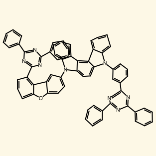 c1ccc(-c2nc(-c3ccccc3)nc(-c3cccc(-n4c5ccccc5c5c6c7ccccc7n(-c7ccc8oc9cccc(-c%10nc(-c%11ccccc%11)nc(-c%11ccccc%11)n%10)c9c8c7)c6ccc54)c3)n2)cc1